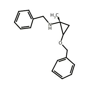 C[C@@]1(NCc2ccccc2)CC1OCc1ccccc1